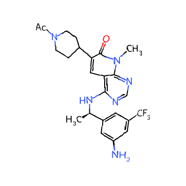 CC(=O)N1CCC(c2cc3c(N[C@H](C)c4cc(N)cc(C(F)(F)F)c4)ncnc3n(C)c2=O)CC1